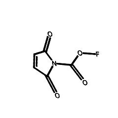 O=C1C=CC(=O)N1C(=O)OF